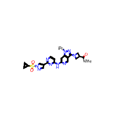 CNC(=O)C1CN(c2nn(C(C)C)c3cc(Nc4ccnc(-c5cnn(S(=O)(=O)C6CC6)c5)n4)ncc23)C1